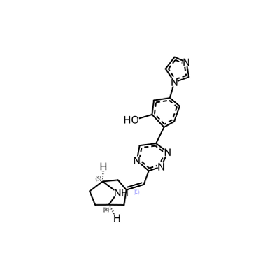 Oc1cc(-n2ccnc2)ccc1-c1cnc(/C=C2/C[C@H]3CC[C@@H](C2)N3)nn1